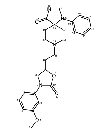 COc1cccc(N2CC(CCN3CCC4(CC3)C(=O)NCN4c3ccccc3)OC2=O)c1